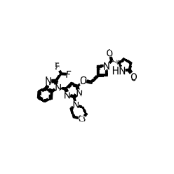 O=C1CC[C@@H](C(=O)N2CC(COc3cc(-n4c(C(F)F)nc5ccccc54)nc(N4CCOCC4)n3)C2)N1